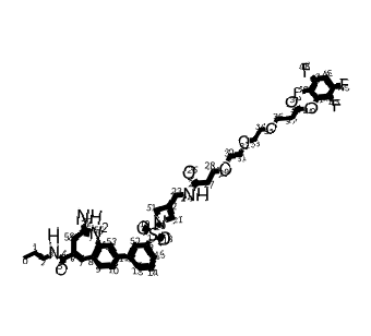 CCCNC(=O)C1=Cc2ccc(-c3cccc(S(=O)(=O)N4CC(CNC(=O)CCOCCOCCOCCC(=O)Oc5c(F)c(F)cc(F)c5F)C4)c3)cc2N=C(N)C1